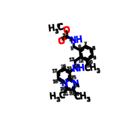 COC(=O)NCc1cccc(C)c1CNc1cccn2c(C)c(C)nc12